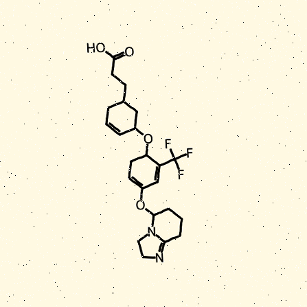 O=C(O)CCC1CC=CC(OC2CC=C(OC3CCCC4=NCCN43)C=C2C(F)(F)F)C1